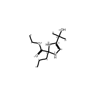 CCCC1(C(=O)OCC)NC=C(C(C)(C)O)N1